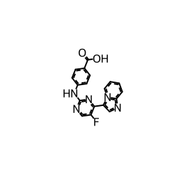 O=C(O)c1ccc(Nc2ncc(F)c(-c3cnc4ccccn34)n2)cc1